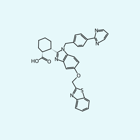 O=C(O)[C@@H]1CCCC[C@@H]1c1nc2cc(OCc3nc4ccccc4s3)ccc2n1Cc1ccc(-c2ncccn2)cc1